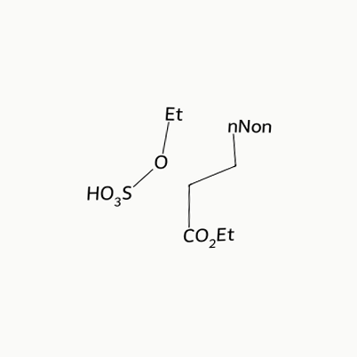 CCCCCCCCCCCC(=O)OCC.CCOS(=O)(=O)O